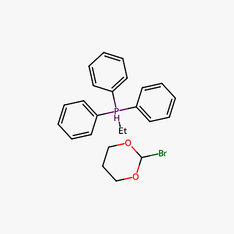 BrC1OCCCO1.CC[PH](c1ccccc1)(c1ccccc1)c1ccccc1